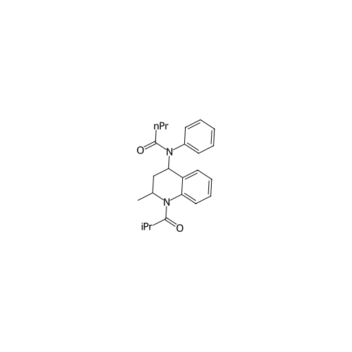 CCCC(=O)N(c1ccccc1)C1CC(C)N(C(=O)C(C)C)c2ccccc21